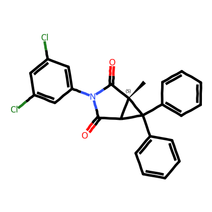 C[C@]12C(=O)N(c3cc(Cl)cc(Cl)c3)C(=O)C1C2(c1ccccc1)c1ccccc1